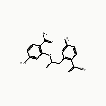 CC(Cc1cc(N)ccc1C(N)=O)Oc1cc(N)ccc1C(N)=O